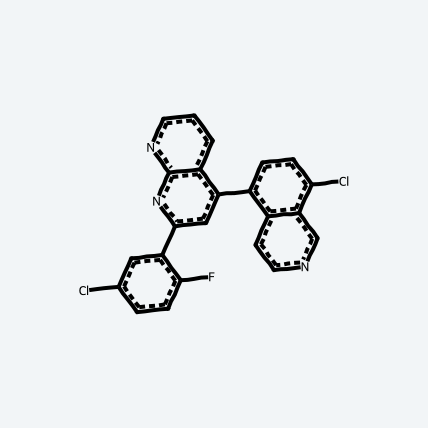 Fc1ccc(Cl)cc1-c1cc(-c2ccc(Cl)c3cnccc23)c2cccnc2n1